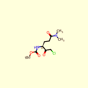 CN(C)C(=O)CC[C@H](NC(=O)OC(C)(C)C)C(=O)CCl